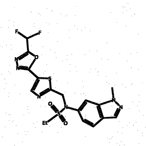 CCS(=O)(=O)N(Cc1ncc(-c2nnc(C(F)F)o2)s1)c1ccc2cnn(C)c2c1